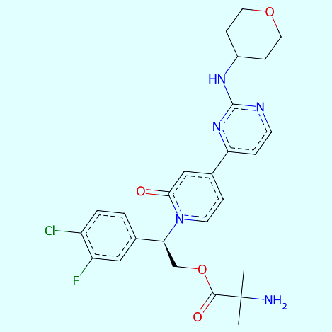 CC(C)(N)C(=O)OC[C@@H](c1ccc(Cl)c(F)c1)n1ccc(-c2ccnc(NC3CCOCC3)n2)cc1=O